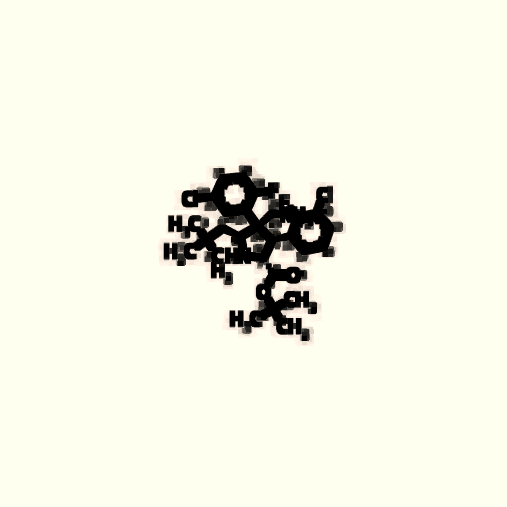 CC(C)(C)C[C@@H]1N[C@@H](C(=O)OC(C)(C)C)[C@H](c2cccc(Cl)c2F)[C@@]1(CN)c1cc(Cl)ccc1F